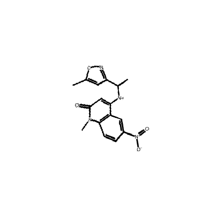 Cc1cc(C(C)Nc2cc(=O)n(C)c3ccc([N+](=O)[O-])cc23)no1